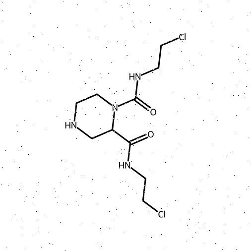 O=C(NCCCl)C1CNCCN1C(=O)NCCCl